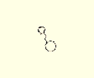 c1ccc(CCN2CCCCCCCC2)nc1